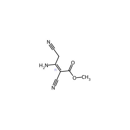 COC(=O)/C(C#N)=C(/N)CC#N